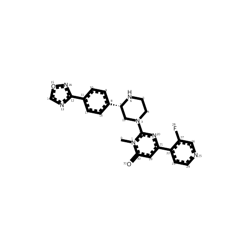 Cn1c(N2CCN[C@@H](c3ccc(-c4ncon4)cc3)C2)nc(-c2ccncc2F)cc1=O